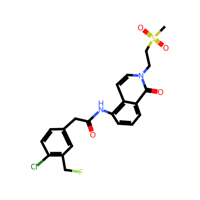 CS(=O)(=O)CCn1ccc2c(NC(=O)Cc3ccc(Cl)c(CF)c3)cccc2c1=O